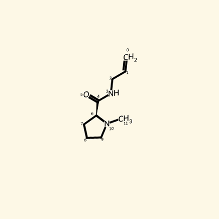 C=CCNC(=O)[C@@H]1CCCN1C